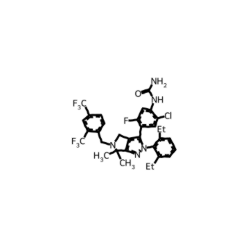 CCc1cccc(CC)c1-n1nc2c(c1-c1cc(Cl)c(NC(N)=O)cc1F)CN(Cc1ccc(C(F)(F)F)cc1C(F)(F)F)C2(C)C